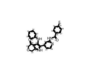 O=C(Nc1cc(-c2[nH]c3c(c2Nc2ccccc2)C(=O)COC3)ccn1)c1ccc(F)cc1